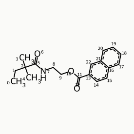 CCC(C)(C)C(=O)NCCOC(=O)c1ccc2ccccc2c1